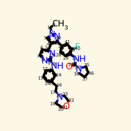 CCn1cc(-c2ccnc(Nc3cccc(CCN4CCOCC4)c3)n2)c(-c2ccc(NC(=O)N3CCCC3)c(F)c2)n1